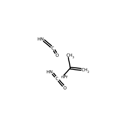 C=C(C)CCC.N=C=O.N=C=O